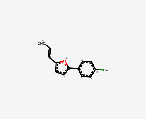 O=CC=Cc1ccc(-c2ccc(Cl)cc2)o1